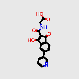 O=C(O)CNC(=O)C1=C(O)c2cc(-c3cccnc3)ccc2C1=O